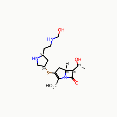 C[C@@H](O)[C@H]1C(=O)N2C(C(=O)O)=C(S[C@@H]3CN[C@@H](CCNCO)C3)C[C@H]12